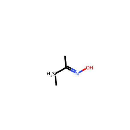 C[SiH2]C(C)=NO